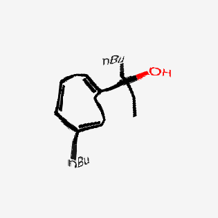 CCCCc1cccc(C(C)(O)CCCC)c1